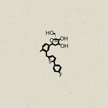 Cc1ccc(C2CC(O)C(O)[C@@H](CO)O2)cc1Cc1ccc(-c2ccc(F)cc2)s1